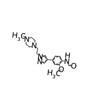 COc1cc(-c2cnn(CCN3CCN(C)CC3)c2)ccc1NC=O